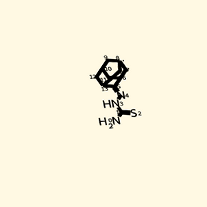 NC(=S)NN=C1C2C[C]3CC(C2)CC1C3